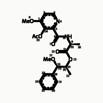 COc1ccnc(C(=O)N[C@@H](C)C(=O)O[C@@H](C)[C@H](OC)c2ccccc2)c1OC(C)=O